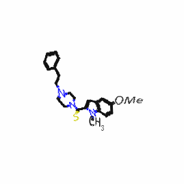 COc1ccc2c(c1)cc(C(=S)N1CCN(CCc3ccccc3)CC1)n2C